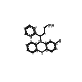 O=S(=O)(O)CCC(c1ncccn1)N1c2ccccc2Oc2ccc(Cl)cc21